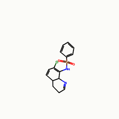 O=S(=O)(NC1=C(Cl)C=CC2CCC=NC12)c1ccccc1